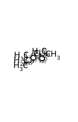 C=C(C)c1cc(Cl)c(-c2cccc(C(C)C)c2)cc1CCC